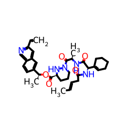 C=Cc1cc2cc([C@@H](C)OC(=O)[C@@H]3CCCN(C(=O)[C@H](C)NC(=O)[C@@H](NC(=O)C/C=C/C)C4=CCCCC4)N3)ccc2cn1